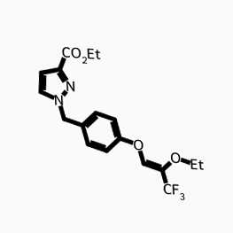 CCOC(=O)c1ccn(Cc2ccc(OC=C(OCC)C(F)(F)F)cc2)n1